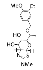 CCc1cc(CO[C@@H](C)[C@H]2O[C@@H]3SC(NC)=N[C@@H]3[C@@H](O)[C@@H]2O)ccc1OC